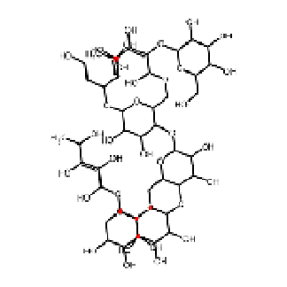 CC(O)/C(O)=C(/OC1OC(CO)C(O)C(O)C1O)C(O)OCC1OC(OC(C=C(O)O)CCO)C(O)C(O)C1OC1OC(COC2OCC(O)C(O)C2O)C(OC2OC(COC(O)/C(O)=C(\O)C(C)O)C(O)C(O)C2O)C(O)C1O